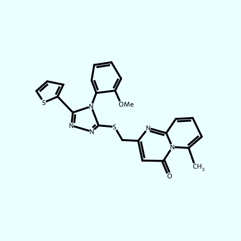 COc1ccccc1-n1c(SCc2cc(=O)n3c(C)cccc3n2)nnc1-c1cccs1